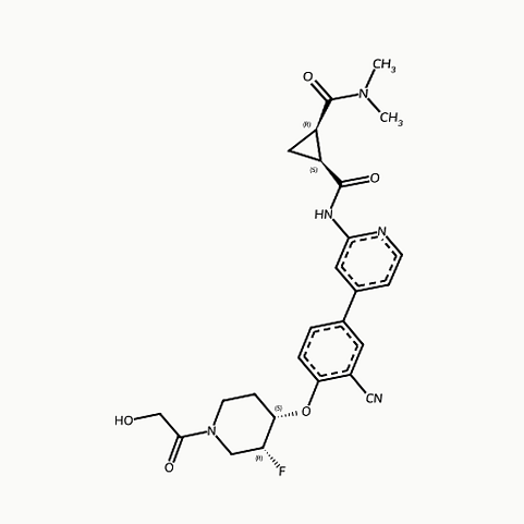 CN(C)C(=O)[C@@H]1C[C@@H]1C(=O)Nc1cc(-c2ccc(O[C@H]3CCN(C(=O)CO)C[C@H]3F)c(C#N)c2)ccn1